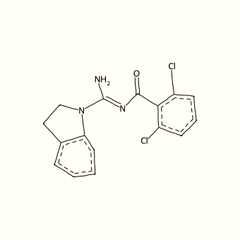 NC(=NC(=O)c1c(Cl)cccc1Cl)N1CCc2ccccc21